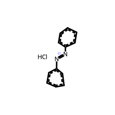 Cl.c1ccc(/N=N/c2ccccc2)cc1